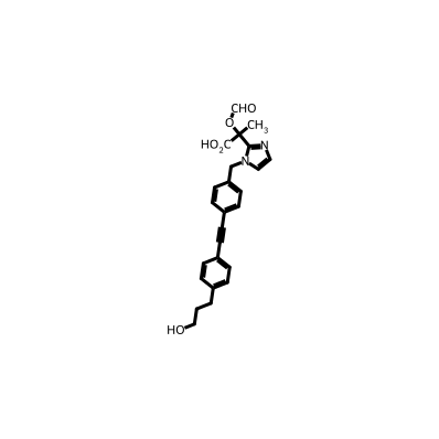 CC(OC=O)(C(=O)O)c1nccn1Cc1ccc(C#Cc2ccc(CCCO)cc2)cc1